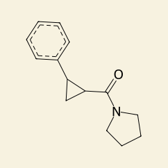 O=C(C1CC1c1ccccc1)N1CCCC1